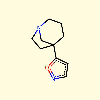 c1cc(C23CCCN(CC2)C3)on1